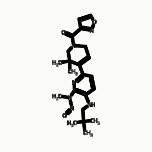 CN(N=O)c1nc(C2=CCN(C(=O)c3ccon3)CC2(C)C)ccc1NCC(C)(C)C